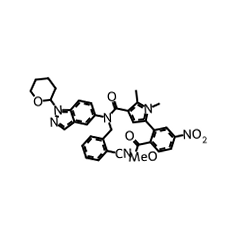 COC(=O)c1ccc([N+](=O)[O-])cc1-c1cc(C(=O)N(Cc2ccccc2C#N)c2ccc3c(cnn3C3CCCCO3)c2)c(C)n1C